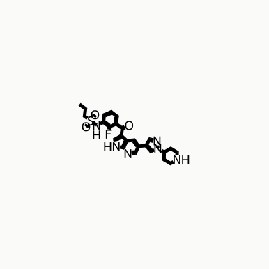 CCCS(=O)(=O)Nc1cccc(C(=O)c2c[nH]c3ncc(-c4cnn(C5CCNCC5)c4)cc23)c1F